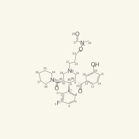 Cc1c(F)cccc1[C@@H]1[C@@H](C(=O)c2cccc(O)c2)CN(CCCON(C)C=O)C[C@@H]1C(=O)N1CCCCC1